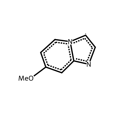 COc1ccn2[c]cnc2c1